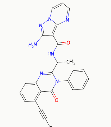 CCC#Cc1cccc2nc([C@@H](C)NC(=O)c3c(N)nn4cccnc34)n(-c3ccccc3)c(=O)c12